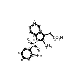 Cc1c(CC(=O)O)c2cnccc2n1S(=O)(=O)c1ccccc1F